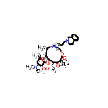 CCCN1C[C@H](C)C[C@@](C)(OC)[C@H](O[C@@H]2O[C@H](C)C[C@H](N(C)C)[C@H]2O)[C@@H](C)C(=O)C(C)(C)C(=O)OC[C@H]1CCCN1CCc2ccccc2C1